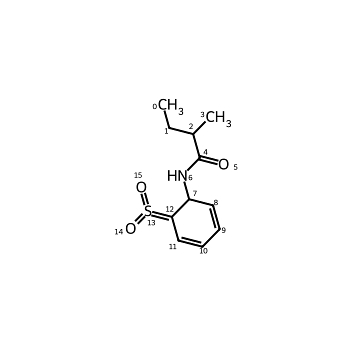 CCC(C)C(=O)NC1C=CC=CC1=S(=O)=O